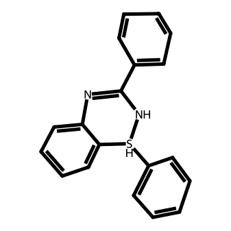 c1ccc(C2=Nc3ccccc3[SH](c3ccccc3)N2)cc1